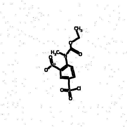 CCOC(=O)N(C)c1ccc(S(=O)(=O)Cl)cc1[N+](=O)[O-]